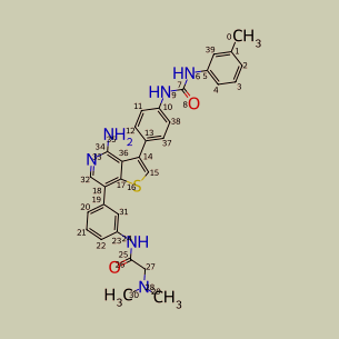 Cc1cccc(NC(=O)Nc2ccc(-c3csc4c(-c5cccc(NC(=O)CN(C)C)c5)cnc(N)c34)cc2)c1